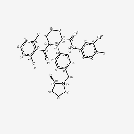 Cc1ccc(NC(=O)[C@H]2CCCN(C(=O)c3c(C)cccc3F)[C@H]2c2ccc(CN3CCC[C@H]3C)cc2)cc1Cl